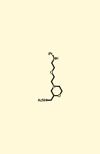 CC(=O)NCC1CN(CCOCCNC(C)C)CCO1